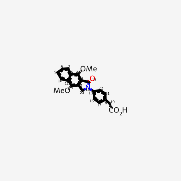 COc1c2c(c(OC)c3ccccc13)C(=O)N(c1ccc(CC(=O)O)cc1)C2